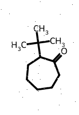 CC(C)(C)C1CCCCCC1=O